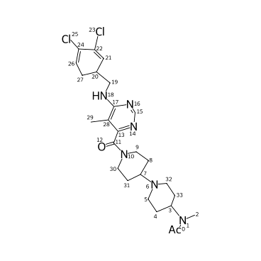 CC(=O)N(C)C1CCN(C2CCN(C(=O)c3ncnc(NCC4C=C(Cl)C(Cl)=CC4)c3C)CC2)CC1